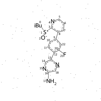 CCC(C)[S+]([O-])c1ncccc1-c1ccc(-c2cnc(N)cn2)c(F)c1